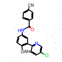 COc1c[c]c(NC(=O)c2ccc(C#N)cc2)cc1-c1ccc(Cl)cn1